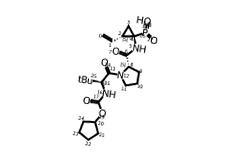 C=C[C@@H]1C[C@]1(NC(=O)[C@@H]1CCCN1C(=O)[C@@H](NC(=O)OC1CCCC1)C(C)(C)C)[PH](=O)O